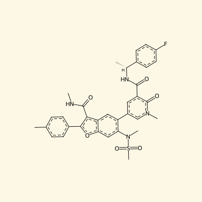 CNC(=O)c1c(-c2ccc(C)cc2)oc2cc(N(C)S(C)(=O)=O)c(-c3cc(C(=O)N[C@H](C)c4ccc(F)cc4)c(=O)n(C)c3)cc12